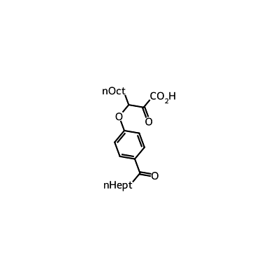 CCCCCCCCC(Oc1ccc(C(=O)CCCCCCC)cc1)C(=O)C(=O)O